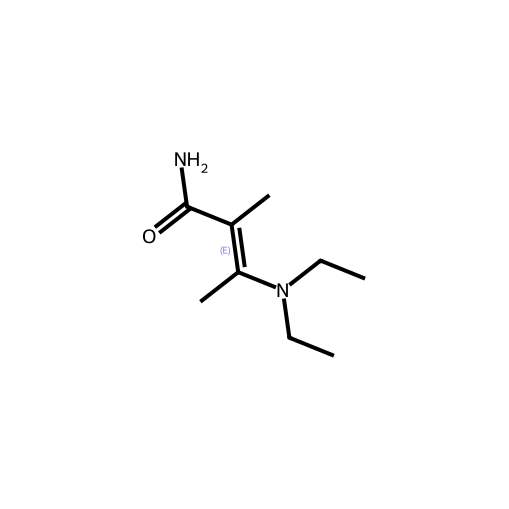 CCN(CC)/C(C)=C(\C)C(N)=O